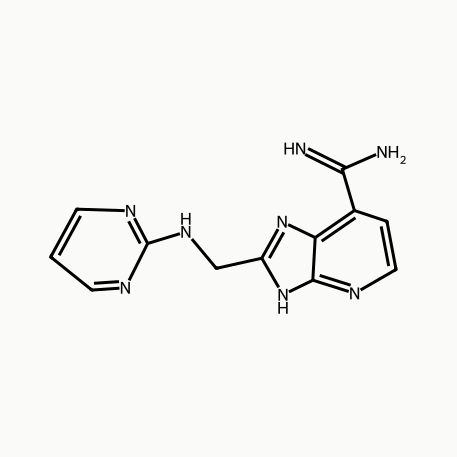 N=C(N)c1ccnc2[nH]c(CNc3ncccn3)nc12